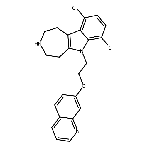 Clc1ccc(Cl)c2c1c1c(n2CCOc2ccc3cccnc3c2)CCNCC1